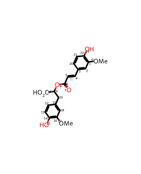 COc1cc(/C=C/C(=O)OC(Cc2ccc(O)c(OC)c2)C(=O)O)ccc1O